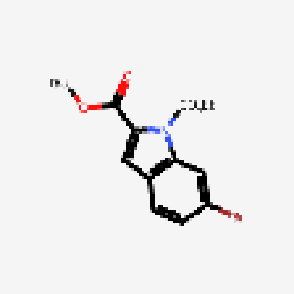 CCOC(=O)n1c(C(=O)OC(C)(C)C)cc2ccc(Br)cc21